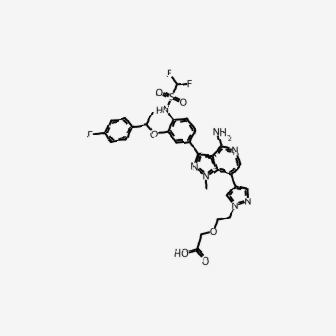 CC(Oc1cc(-c2nn(C)c3c(-c4cnn(CCOCC(=O)O)c4)cnc(N)c23)ccc1NS(=O)(=O)C(F)F)c1ccc(F)cc1